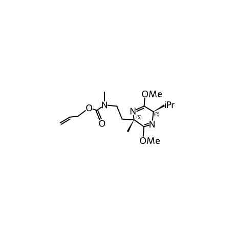 C=CCOC(=O)N(C)CC[C@]1(C)N=C(OC)[C@@H](C(C)C)N=C1OC